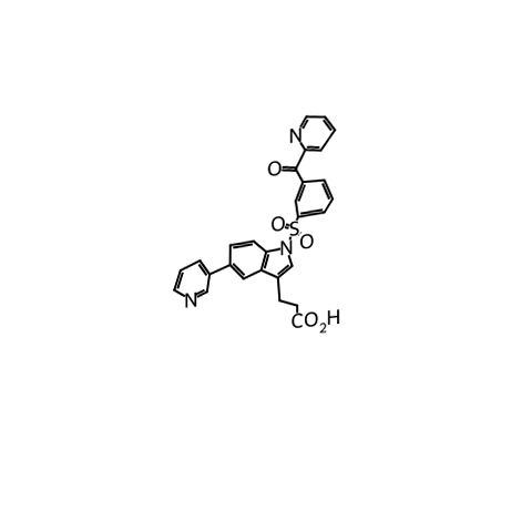 O=C(O)CCc1cn(S(=O)(=O)c2cccc(C(=O)c3ccccn3)c2)c2ccc(-c3cccnc3)cc12